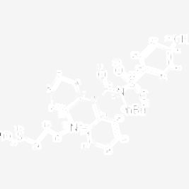 CCCCN(C(=O)c1c2ccccc2[n+](CCCS(=O)(=O)O)c2ccccc12)S(=O)(=O)c1ccc(C)cc1